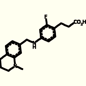 CN1CCCc2ccc(CNc3ccc(CCC(=O)O)c(F)c3)cc21